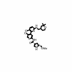 COC[C@@H]1C[C@@H](C(=O)Nc2cc(-c3nc(NCC4CCOC(C)(C)C4)ccc3Cl)c(Cl)cn2)CN1